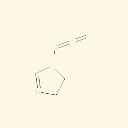 O=C=N[SH]1C=NCC1